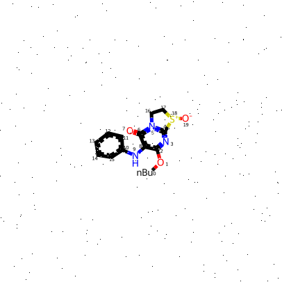 CCCCOc1nc2n(c(=O)c1Nc1ccccc1)CC[S+]2[O-]